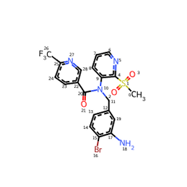 CS(=O)(=O)c1ncccc1N(Cc1ccc(Br)c(N)c1)C(=O)c1ccc(C(F)(F)F)nc1